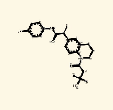 C[C@H](C(=O)Nc1ccc(F)cc1)c1ccc2c(c1)CCCN2C(=O)CC(C)(C)O